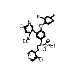 CCOc1cc(=O)n(C)cc1-c1cc(N(CCc2ccccc2Cl)S(=O)(=O)CC)ccc1Oc1ccc(F)cc1F